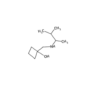 CC(C)C(C)NCC1(O)CCC1